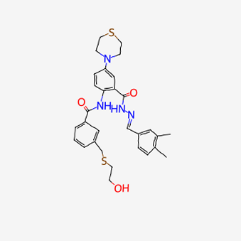 Cc1ccc(C=NNC(=O)c2cc(N3CCSCC3)ccc2NC(=O)c2cccc(CSCCO)c2)cc1C